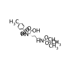 Cc1ccc(S(=O)(=O)N[C@@H](CCCCNC(=O)OC(C)(C)C)C(=O)O)cc1